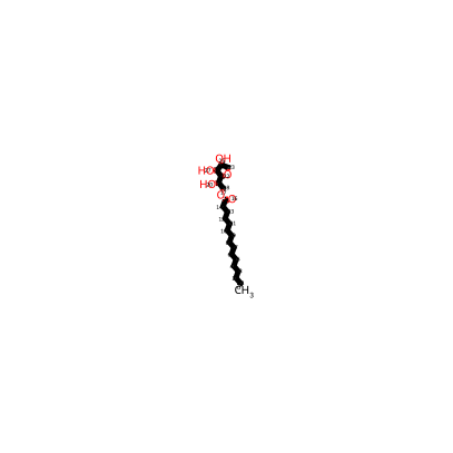 CCCCCCCCCCCCCCCC(=O)OCC(O)C1OCC(O)C1O